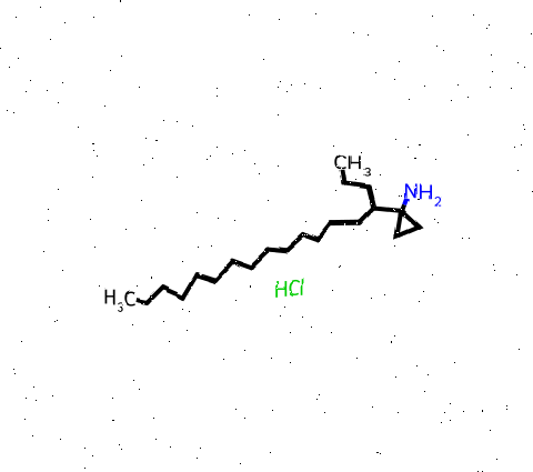 CCCCCCCCCCCCCCC(CCC)C1(N)CC1.Cl